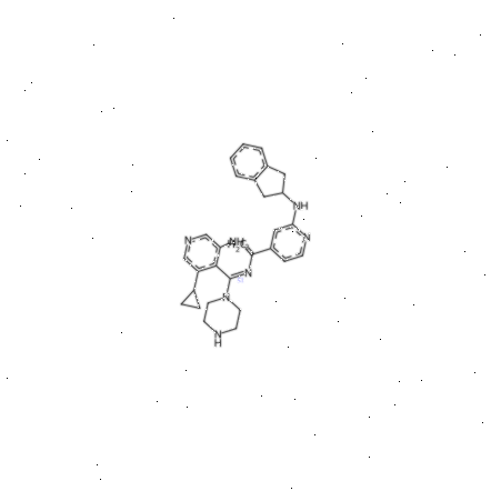 C=C(/N=C(\c1c(N)cncc1C1CC1)N1CCNCC1)c1ccnc(NC2Cc3ccccc3C2)c1